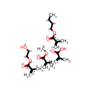 C=C(C)C(=O)O.C=C(C)C(=O)OC.C=C(C)C(=O)OCCCC.C=C(C)C(=O)OCCO